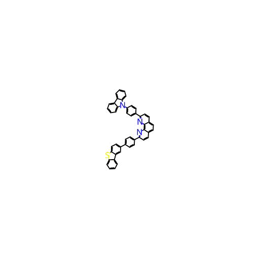 c1ccc2c(c1)sc1ccc(-c3ccc(-c4ccc5ccc6ccc(-c7ccc(-n8c9ccccc9c9ccccc98)cc7)nc6c5n4)cc3)cc12